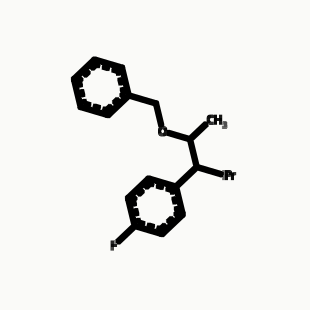 CC(C)C(c1ccc(F)cc1)C(C)OCc1ccccc1